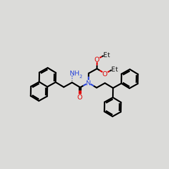 CCOC(CN(CCC(c1ccccc1)c1ccccc1)C(=O)[C@@H](N)Cc1cccc2ccccc12)OCC